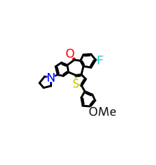 COc1ccc(-c2cc3c4cc(F)ccc4c(=O)c4ccc(N5CCCC5)cc4c3s2)cc1